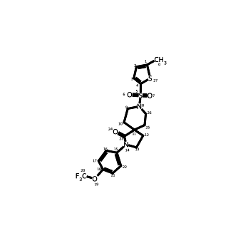 Cc1ccc(S(=O)(=O)N2CCC3(CCN(c4ccc(OC(F)(F)F)cc4)C3=O)CC2)s1